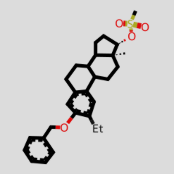 CCc1cc2c(cc1OCc1ccccc1)CCC1C2CC[C@@]2(C)C1CC[C@@H]2OS(C)(=O)=O